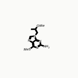 COC(C)Cn1cnc2c(SC)nc(N)nc21